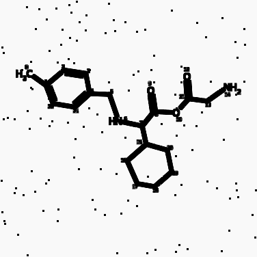 Cc1ccc(CNC(C(=O)OC(=O)CN)C2CCCCC2)cc1